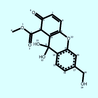 COC(=O)C1C(=O)C=CC2=C1C(O)(O)c1ccc(CO)cc1O2